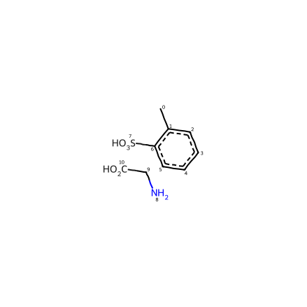 Cc1ccccc1S(=O)(=O)O.NCC(=O)O